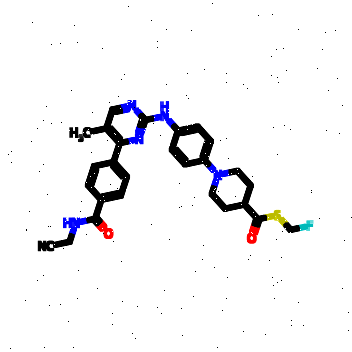 Cc1cnc(Nc2ccc(N3CCC(C(=O)SCF)CC3)cc2)nc1-c1ccc(C(=O)NCC#N)cc1